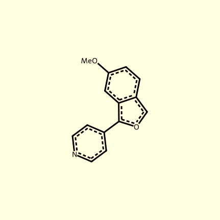 COc1ccc2coc(-c3ccncc3)c2c1